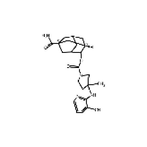 CC1(Nc2ncccc2C#N)CCN(C(=O)OC2C3CC4C[C@H]2C[C@@](C(N)=O)(C4)C3)C1